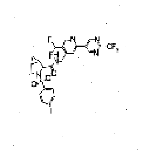 O=C(NCc1cc(-c2cnc(C(F)(F)F)nc2)ncc1C(F)F)C1C2CC2CN1S(=O)(=O)c1ccc(F)cc1